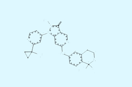 CC(C)n1c(=O)c2cnc(Nc3ccc4c(c3)CCNC4(C)C)cc2n1-c1ccnc(C2(C)CC2)c1